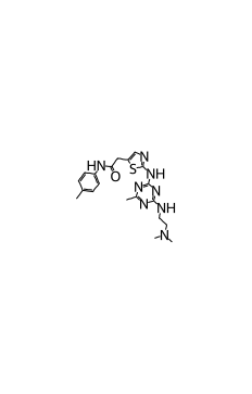 Cc1ccc(NC(=O)Cc2cnc(Nc3nc(C)nc(NCCN(C)C)n3)s2)cc1